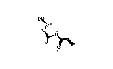 C=CC(=O)OC(C)OOCC